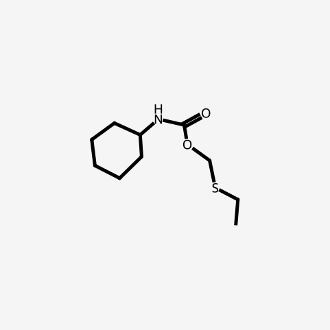 CCSCOC(=O)NC1CCCCC1